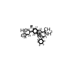 C[C@@H]1NC[C@@H](c2ccccc2)S(=O)(=O)C1Cc1cc(F)c(C(CO)CC2COC2)cc1F